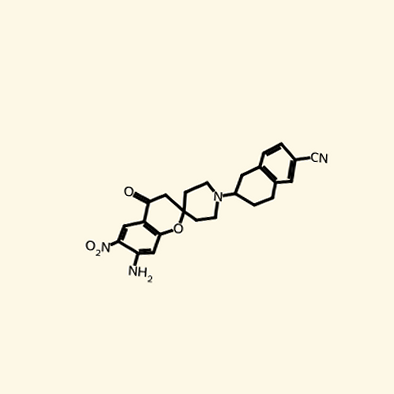 N#Cc1ccc2c(c1)CCC(N1CCC3(CC1)CC(=O)c1cc([N+](=O)[O-])c(N)cc1O3)C2